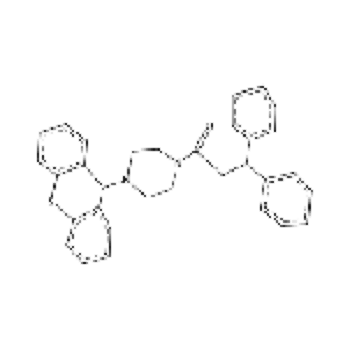 O=C(CC(c1ccccc1)c1ccccc1)N1CCN(C2c3ccccc3Sc3ccccc32)CC1